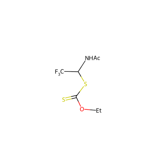 CCOC(=S)SC(NC(C)=O)C(F)(F)F